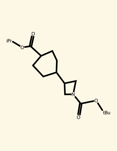 CC(C)OC(=O)C1CCC(C2CN(C(=O)OC(C)(C)C)C2)CC1